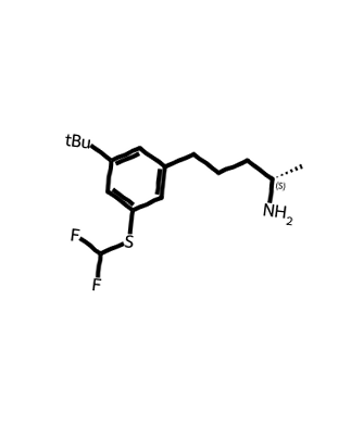 C[C@H](N)CCCc1cc(SC(F)F)cc(C(C)(C)C)c1